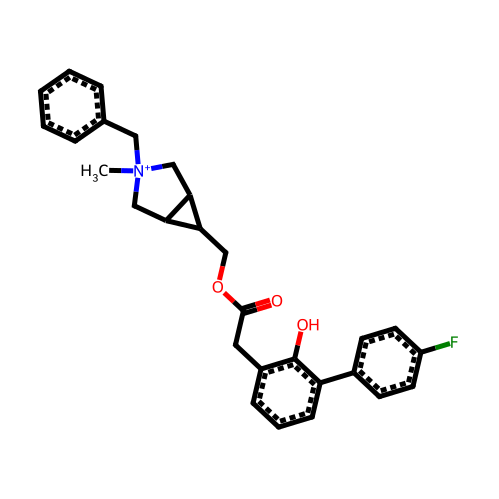 C[N+]1(Cc2ccccc2)CC2C(COC(=O)Cc3cccc(-c4ccc(F)cc4)c3O)C2C1